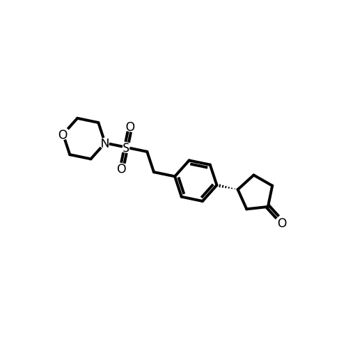 O=C1CC[C@@H](c2ccc(CCS(=O)(=O)N3CCOCC3)cc2)C1